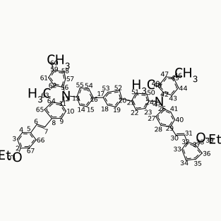 CCOc1ccc(/C=C/c2ccc(N(c3ccc(-c4ccc(-c5ccc(N(c6ccc(/C=C/c7ccccc7OCC)cc6)c6ccc(C)cc6C)cc5)cc4)cc3)c3ccc(C)cc3C)cc2)cc1